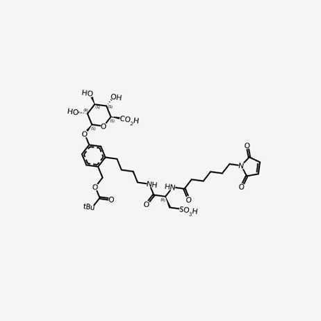 CC(C)(C)C(=O)OCc1ccc(O[C@@H]2O[C@H](C(=O)O)[C@@H](O)[C@H](O)[C@H]2O)cc1CCCCNC(=O)[C@H](CS(=O)(=O)O)NC(=O)CCCCCN1C(=O)C=CC1=O